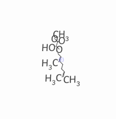 COC(=O)C(O)OC/C=C(\C)CCC=C(C)C